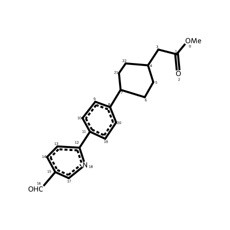 COC(=O)CC1CCC(c2ccc(-c3ccc(C=O)cn3)cc2)CC1